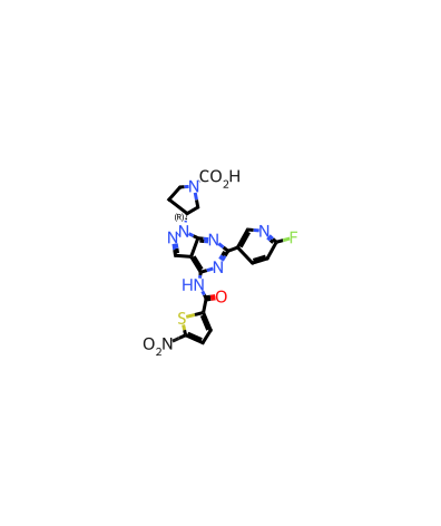 O=C(Nc1nc(-c2ccc(F)nc2)nc2c1cnn2[C@@H]1CCN(C(=O)O)C1)c1ccc([N+](=O)[O-])s1